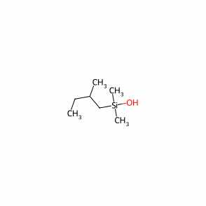 CCC(C)C[Si](C)(C)O